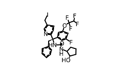 O=C(NC1CCC[C@H]1O)N[C@@](Cc1ccccc1)(c1cc(F)cc(OC(F)(F)C(F)F)c1)c1ccc(CI)cn1